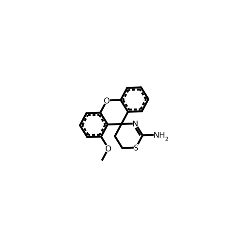 COc1cccc2c1C1(CCSC(N)=N1)c1ccccc1O2